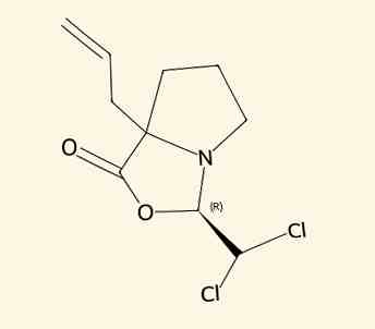 C=CCC12CCCN1[C@@H](C(Cl)Cl)OC2=O